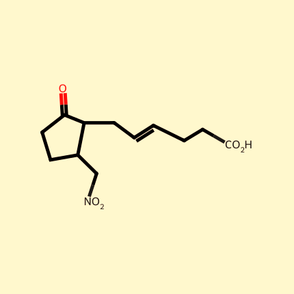 O=C(O)CCC=CCC1C(=O)CCC1C[N+](=O)[O-]